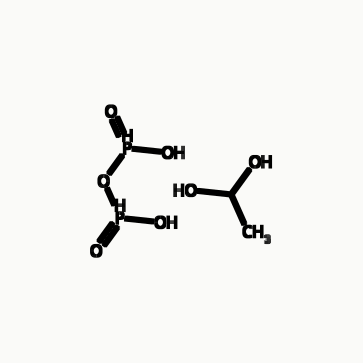 CC(O)O.O=[PH](O)O[PH](=O)O